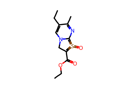 CCOC(=O)C1=S(=O)=C2N=C(C)C(CC)=CN2C1